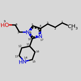 CCCCc1cn(CCO)c(C2CCNCC2)n1